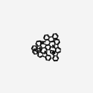 N#Cc1c(-c2cc3ccccc3c3ccccc23)c(-n2c3ccccc3c3ccc4c5ccccc5sc4c32)c(C#N)c(-n2c3ccccc3c3ccc4c5ccccc5sc4c32)c1-c1cc2ccccc2c2ccccc12